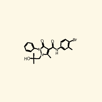 Cc1cc(NC(=O)c2c(C)n(CC(C)(C)O)n(-c3ccccc3)c2=O)ccc1Br